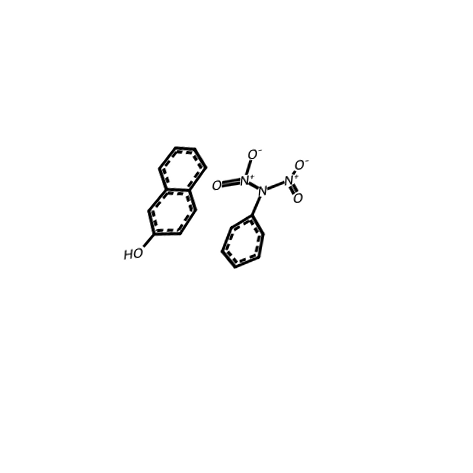 O=[N+]([O-])N(c1ccccc1)[N+](=O)[O-].Oc1ccc2ccccc2c1